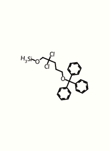 [SiH3]OCC(Cl)(Cl)CCCOC(c1ccccc1)(c1ccccc1)c1ccccc1